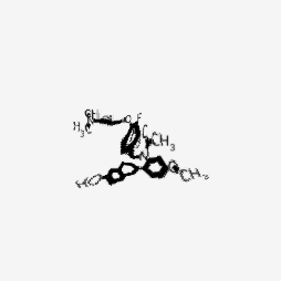 COc1ccc([C@@H]2CCc3cc(O)ccc3C2)c(N(Cc2ccc(OCCN(C)C)c(F)c2)C(C)C)c1